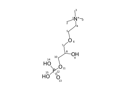 C[N+](C)(C)CCOCC(O)COP(=O)(O)O